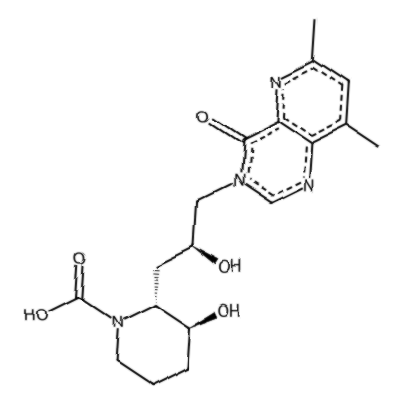 Cc1cc(C)c2ncn(C[C@@H](O)C[C@@H]3[C@@H](O)CCCN3C(=O)O)c(=O)c2n1